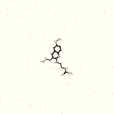 COc1ccc2nc(NCCNC(C)=O)c(CCl)cc2c1.Cl